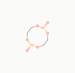 O=[PH]1OCCO[PH](=O)OCCO1